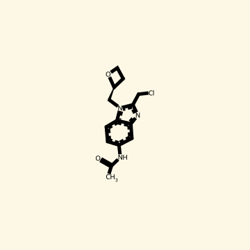 CC(=O)Nc1ccc2c(c1)nc(CCl)n2C[C@@H]1CCO1